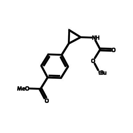 COC(=O)c1ccc(C2CC2NC(=O)OC(C)(C)C)cc1